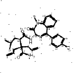 C=CCC(CC=C)(C(N)=O)[C@@H](CC(C)C)C(=O)N[C@H]1N=C(c2ccc(Cl)cc2)c2ccccc2N(C)C1=O